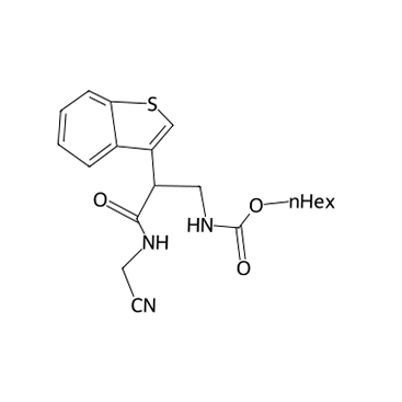 CCCCCCOC(=O)NCC(C(=O)NCC#N)c1csc2ccccc12